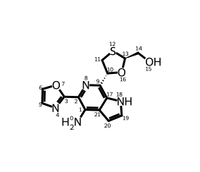 Nc1c(-c2ncco2)nc([C@@H]2CS[C@@H](CO)O2)c2[nH]ccc12